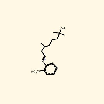 CC(C/C=N/c1ccccc1C(=O)O)CCCC(C)(C)O